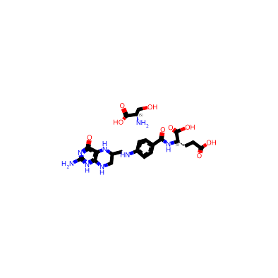 N[C@@H](CO)C(=O)O.Nc1nc(=O)c2c([nH]1)NCC(CNc1ccc(C(=O)N[C@@H](CCC(=O)O)C(=O)O)cc1)N2